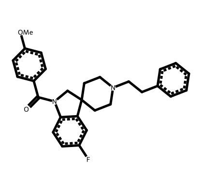 COc1ccc(C(=O)N2CC3(CCN(CCc4ccccc4)CC3)c3cc(F)ccc32)cc1